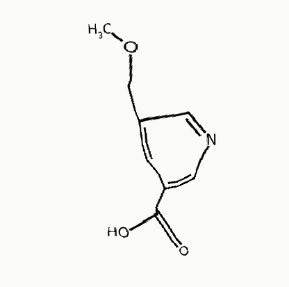 COCc1cncc(C(=O)O)c1